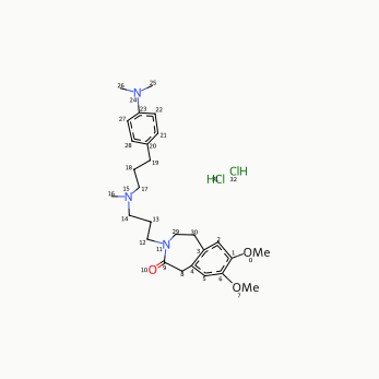 COc1cc2c(cc1OC)CC(=O)N(CCCN(C)CCCc1ccc(N(C)C)cc1)CC2.Cl.Cl